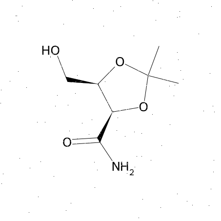 CC1(C)O[C@H](CO)[C@H](C(N)=O)O1